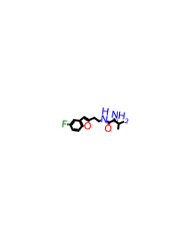 CC(C)[C@H](N)C(=O)NCCc1cc2cc(F)ccc2o1